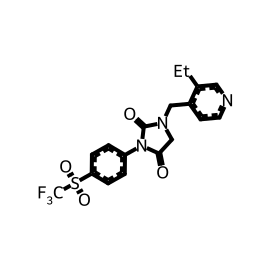 CCc1cnccc1CN1CC(=O)N(c2ccc(S(=O)(=O)C(F)(F)F)cc2)C1=O